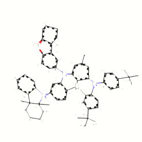 Cc1cc2c3c(c1)N(c1ccc4oc5ccccc5c4c1)c1cc(N4c5ccccc5C5(C)CCCCC45C)ccc1B3c1cc(C(C)(C)C)ccc1N2c1ccc(C(C)(C)C)cc1